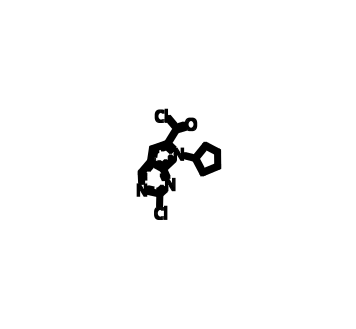 O=C(Cl)c1cc2cnc(Cl)nc2n1C1CCCC1